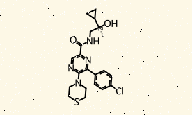 C[C@](O)(CNC(=O)c1cnc(N2CCSCC2)c(-c2ccc(Cl)cc2)n1)C1CC1